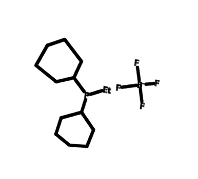 CCP(C1CCCCC1)C1CCCCC1.F[B-](F)(F)F